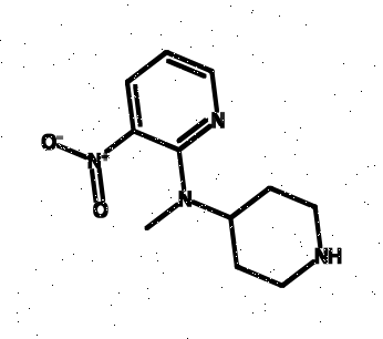 CN(c1ncccc1[N+](=O)[O-])C1CCNCC1